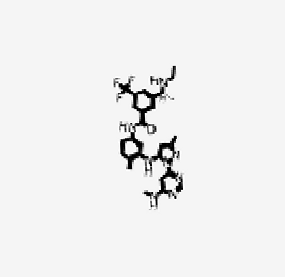 CCN[C@H](C)c1cc(C(=O)Nc2ccc(C)c(Nc3cc(C)nn3-c3cc(NC)ncn3)c2)cc(C(F)(F)F)c1